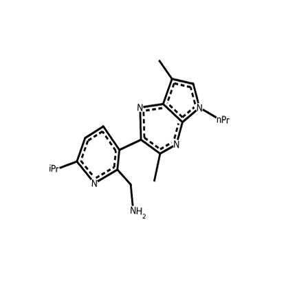 CCCn1cc(C)c2nc(-c3ccc(C(C)C)nc3CN)c(C)nc21